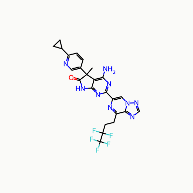 CC1(c2ccc(C3CC3)nc2)C(=O)Nc2nc(-c3cn4ncnc4c(CCC(F)(F)C(F)(F)F)n3)nc(N)c21